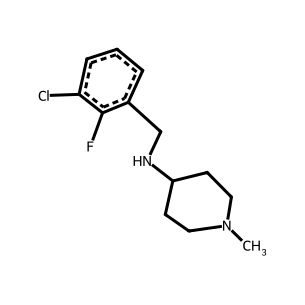 CN1CCC(NCc2cccc(Cl)c2F)CC1